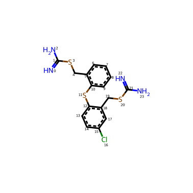 N=C(N)SCc1ccccc1Sc1ccc(Cl)cc1CSC(=N)N